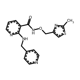 Cc1nc(CONC(=O)c2cccnc2NCc2ccncc2)cs1